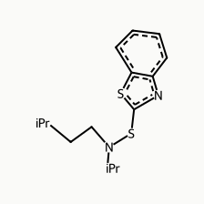 CC(C)CCN(Sc1nc2ccccc2s1)C(C)C